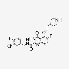 O=C(NCc1ccc(F)c(Cl)c1)c1nc2ccc(F)c(OCCC3CCNCC3)c2c(=O)[nH]1